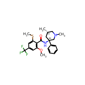 COc1cc(C(F)(F)F)cc(SC)c1C(=O)N[C@@]1(c2ccccc2)C[C@H](C)CN(C)C1